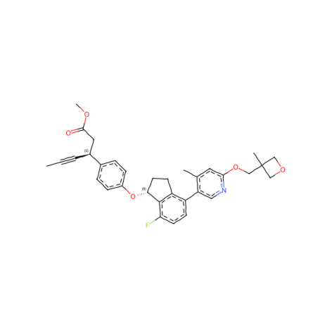 CC#C[C@@H](CC(=O)OC)c1ccc(O[C@@H]2CCc3c(-c4cnc(OCC5(C)COC5)cc4C)ccc(F)c32)cc1